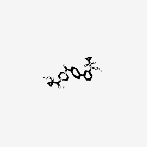 COC1(C(O)N2CCN(C(=O)c3ccc(-c4cccc(N(C)S(=O)(=O)C5CC5)c4)cc3)CC2)CC1